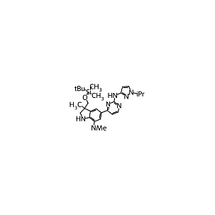 CNc1cc(-c2ccnc(Nc3ccn(C(C)C)n3)n2)cc2c1NCC2(C)CO[Si](C)(C)C(C)(C)C